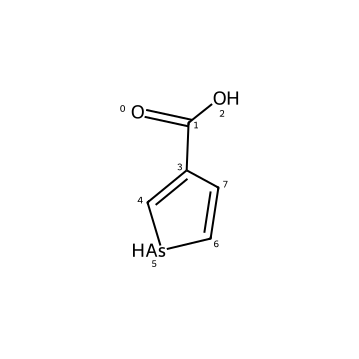 O=C(O)C1=C[AsH]C=C1